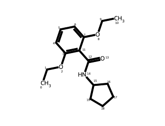 CCOc1cccc(OCC)c1C(=O)NC1CCCC1